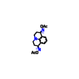 CC(=O)O/N=C1\CCN2CC/C(=N\OC(C)=O)c3cccc1c32